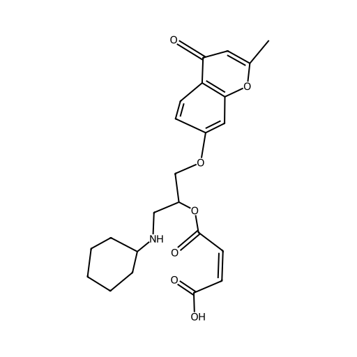 Cc1cc(=O)c2ccc(OCC(CNC3CCCCC3)OC(=O)/C=C\C(=O)O)cc2o1